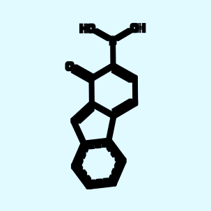 O=C1C(B(O)O)=CC=C2C1=Cc1ccccc12